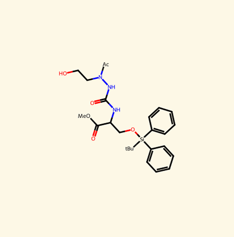 COC(=O)C(CO[Si](c1ccccc1)(c1ccccc1)C(C)(C)C)NC(=O)NN(CCO)C(C)=O